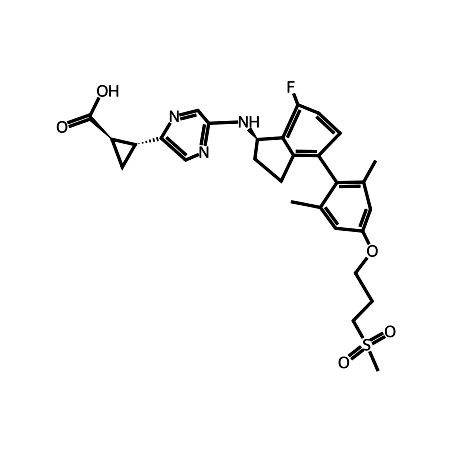 Cc1cc(OCCCS(C)(=O)=O)cc(C)c1-c1ccc(F)c2c1CC[C@H]2Nc1cnc([C@@H]2C[C@H]2C(=O)O)cn1